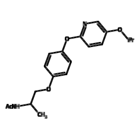 CC(=O)NC(C)COc1ccc(Oc2ccc(OC(C)C)cn2)cc1